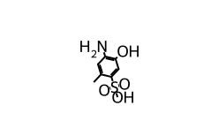 Cc1cc(N)c(O)cc1S(=O)(=O)O